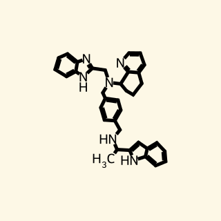 CC(NCc1ccc(CN(Cc2nc3ccccc3[nH]2)C2CCCc3cccnc32)cc1)c1cc2ccccc2[nH]1